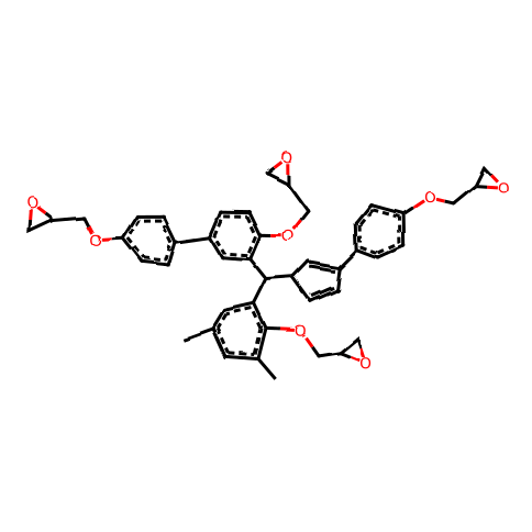 Cc1cc(C)c(OCC2CO2)c(C(c2cc(-c3ccc(OCC4CO4)cc3)ccc2OCC2CO2)C2C=CC(c3ccc(OCC4CO4)cc3)=C2)c1